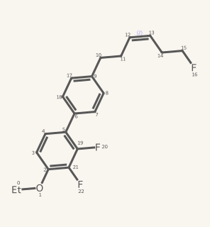 CCOc1ccc(-c2ccc(CC/C=C\CCF)cc2)c(F)c1F